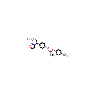 CC(COc1ccc(C(CC(=O)O)c2ccon2)cc1)Oc1ccc(C(F)(F)F)cc1